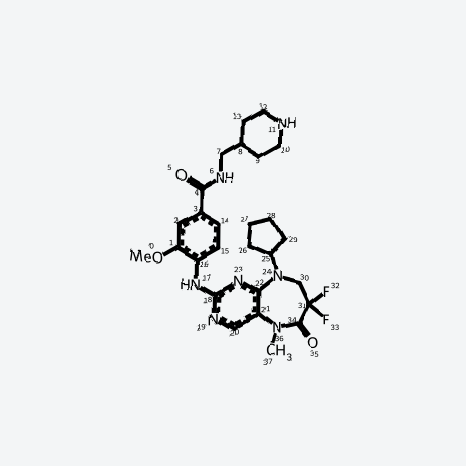 COc1cc(C(=O)NCC2CCNCC2)ccc1Nc1ncc2c(n1)N(C1CCCC1)CC(F)(F)C(=O)N2C